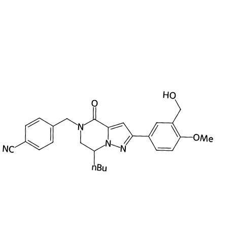 CCCCC1CN(Cc2ccc(C#N)cc2)C(=O)c2cc(-c3ccc(OC)c(CO)c3)nn21